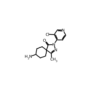 CC1=NN(c2ccncc2Cl)C(=O)C12CCC(N)CC2